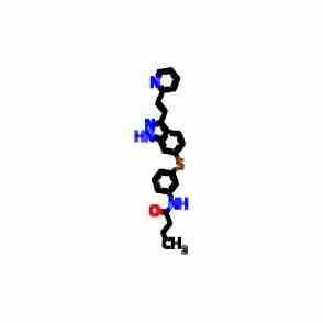 CCCC(=O)Nc1cccc(Sc2ccc3c(/C=C/c4ccccn4)n[nH]c3c2)c1